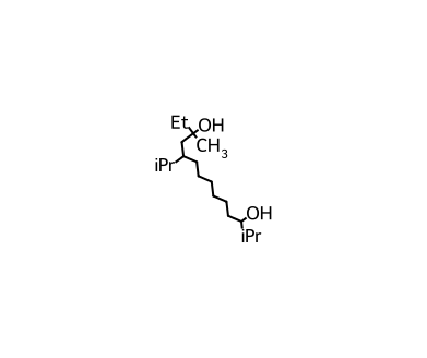 CCC(C)(O)CC(CCCCCCC(O)C(C)C)C(C)C